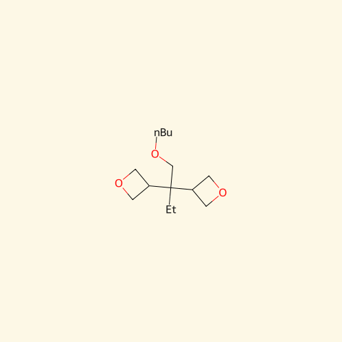 CCCCOCC(CC)(C1COC1)C1COC1